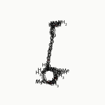 CO[C@H]1C[C@@H]2CC[C@@H](C)[C@@](O)(O2)C(=O)C(=O)N2CCCC[C@H]2C(=O)O[C@H]([C@H](C)C[C@@H]2CC[C@@H](O)[C@H](OC)C2)C[C@@H](O)[C@H](C)/C=C(\C)[C@@H](O)[C@@H](OC)C(=NOCC(=O)NCCOCCOCCOCCOCCOCCOCCOCCOCCC(=O)N2CCc3cc(Cn4nc(-c5ccc6oc(N)nc6c5)c5c(N)ncnc54)ccc3C2)[C@H](C)C[C@H](C)/C=C/C=C/C=C/1C